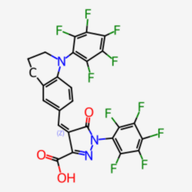 O=C(O)C1=NN(c2c(F)c(F)c(F)c(F)c2F)C(=O)/C1=C\c1ccc2c(c1)CCCN2c1c(F)c(F)c(F)c(F)c1F